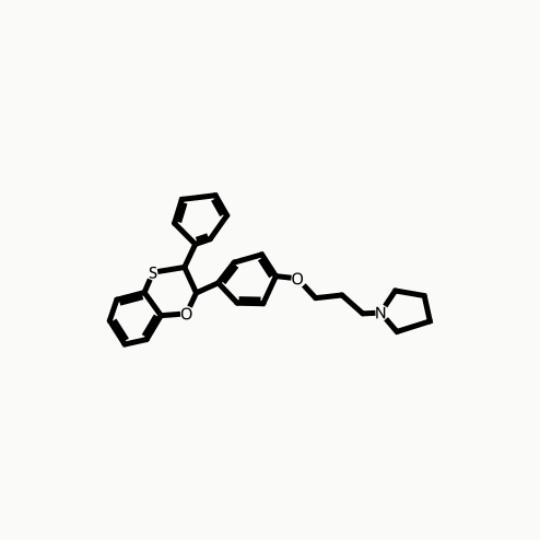 c1ccc(C2Sc3ccccc3OC2c2ccc(OCCCN3CCCC3)cc2)cc1